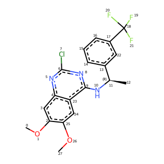 COc1cc2nc(Cl)nc(N[C@H](C)c3cccc(C(F)(F)F)c3)c2cc1OC